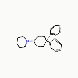 c1ccc(C2(c3ccccc3)CCC(N3CCCCC3)CC2)cc1